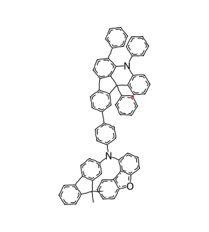 CC1(C)c2ccccc2-c2ccc(N(c3ccc(-c4ccc5c(c4)C4(c6ccccc6)c6ccccc6N(c6ccccc6)c6c(-c7ccccc7)ccc-5c64)cc3)c3cccc4oc5ccccc5c34)cc21